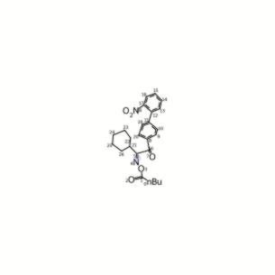 CCCCC(=O)O/N=C(\C(=O)c1ccc(-c2ccccc2[N+](=O)[O-])cc1)C1CCCCC1